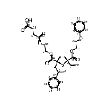 CCC(C)(CC(C)(CC(C)c1ccccc1)C(=O)OCCOC(=O)CCC(=O)O)C(=O)OCCOc1ccccc1